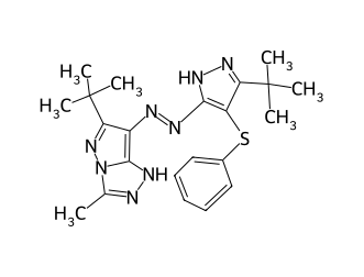 Cc1n[nH]c2c(N=Nc3[nH]nc(C(C)(C)C)c3Sc3ccccc3)c(C(C)(C)C)nn12